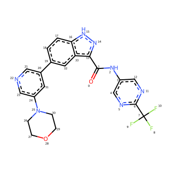 O=C(Nc1cnc(C(F)(F)F)nc1)c1n[nH]c2ccc(-c3cncc(N4CCOCC4)c3)cc12